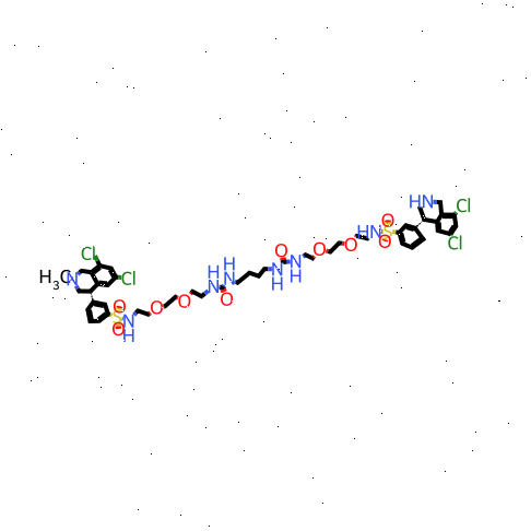 CN1Cc2c(Cl)cc(Cl)cc2[C@H](c2cccc(S(=O)(=O)NCCOCCOCCNC(=O)NCCCCNC(=O)NCCOCCOCCNS(=O)(=O)c3cccc([C@@H]4CNCc5c(Cl)cc(Cl)cc54)c3)c2)C1